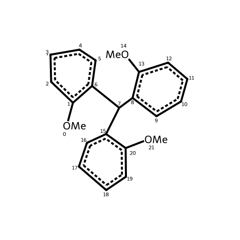 COc1c[c]ccc1C(c1ccccc1OC)c1ccccc1OC